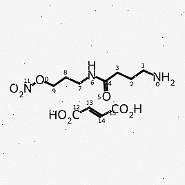 NCCCC(=O)NCCCO[N+](=O)[O-].O=C(O)C=CC(=O)O